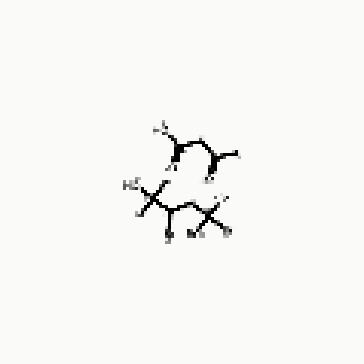 CC(=O)CC(=O)O.CC(C)(O)C(Br)CC(Br)(Br)Br